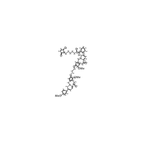 COc1ccc(C2=CC=C3C(C2)Cn2cc(OCCCOc4cn5c(c4OC)C=[N+]([O-])C4=CC=C(c6ccccc6NC(=O)CCCCCN6C(=O)C=CC6=O)CC4C5)c(OC)c2C=[N+]3[O-])cc1